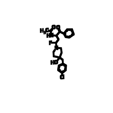 CC(=O)NC(CC(F)N1CCC(O)(Cc2ccc(Cl)cc2)CC1)C(=O)c1ccccc1